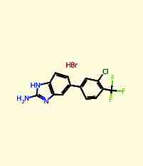 Br.Nc1nc2cc(-c3ccc(C(F)(F)F)c(Cl)c3)ccc2[nH]1